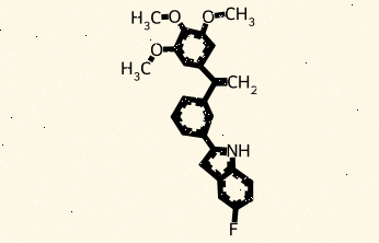 C=C(c1cccc(-c2cc3cc(F)ccc3[nH]2)c1)c1cc(OC)c(OC)c(OC)c1